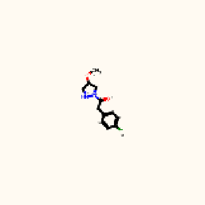 COC1CNN(C(=O)Cc2ccc(F)cc2)C1